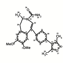 COc1cc2c(cc1OC)C(c1ccc(-c3c(C)noc3C)cc1)=CN(C(N)=O)C(C)C2